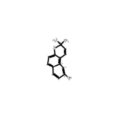 CC1(C)C=Cc2c(ccc3ccc(O)cc23)O1